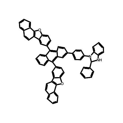 c1ccc(C2Nc3ccccc3N2c2ccc(-c3ccc4c(-c5ccc6oc7c8ccccc8ccc7c6c5)c5ccccc5c(-c5ccc6oc7c8ccccc8ccc7c6c5)c4c3)cc2)cc1